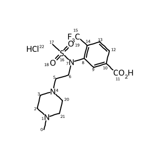 CN1CCN(CCN(c2cc(C(=O)O)ccc2C(F)(F)F)S(C)(=O)=O)CC1.Cl